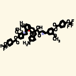 COc1cc(/C=C/C(=O)C(O)C(Cc2ccc(N)cc2)(Cc2ccc(N)cc2)C(O)C(=O)/C=C/c2ccc(OC(=O)c3ccc(OC(F)(F)F)cc3)c(OC)c2)ccc1OC(=O)c1ccc(OC(F)(F)F)cc1